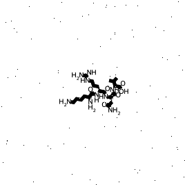 CC(C)[C@H](NC(=O)[C@H](CC(N)=O)NC(=O)[C@H](CCCNC(=N)N)NC(=O)[C@@H](N)CCCCN)C(=O)O